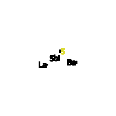 [Ba].[La].[S].[Sb]